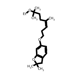 CCOC(C)(C)CCC(C)=CCCOc1ccc2c(c1)OC(C)(C)C2